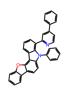 c1ccc(-c2ccnc(-c3cccc4c5c6oc7ccccc7c6ccc5n(-c5ccccc5)c34)c2)cc1